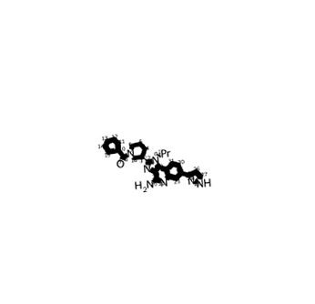 CC(C)n1c([C@H]2CCCN(C(=O)c3ccccc3)C2)nc2c(N)nc3cc(-c4cc[nH]n4)ccc3c21